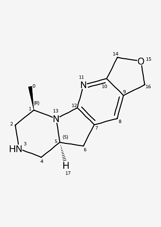 C[C@@H]1CNC[C@@H]2Cc3cc4c(nc3N21)COC4